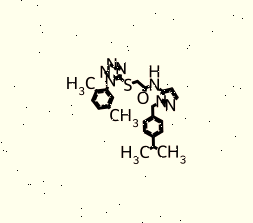 Cc1ccc(C)c(-n2nnnc2SCC(=O)Nc2ccnn2Cc2ccc(C(C)C)cc2)c1